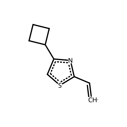 [CH]=Cc1nc(C2CCC2)cs1